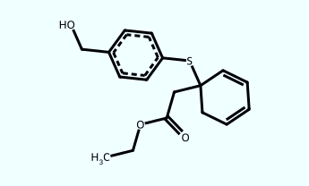 CCOC(=O)CC1(Sc2ccc(CO)cc2)C=CC=CC1